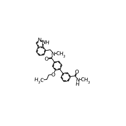 CCCOc1cc(C(=O)N(C)Cc2cccc3cn[nH]c23)ccc1-c1cccc(C(=O)NC)c1